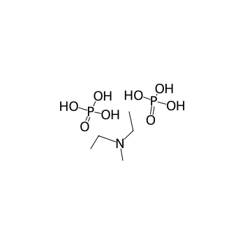 CCN(C)CC.O=P(O)(O)O.O=P(O)(O)O